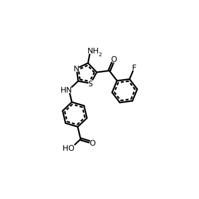 Nc1nc(Nc2ccc(C(=O)O)cc2)sc1C(=O)c1ccccc1F